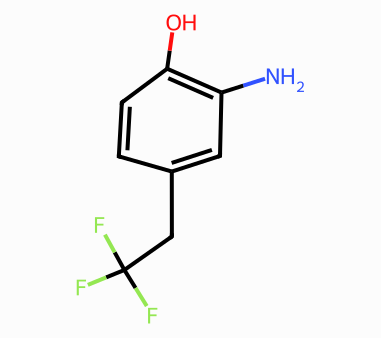 Nc1cc(CC(F)(F)F)ccc1O